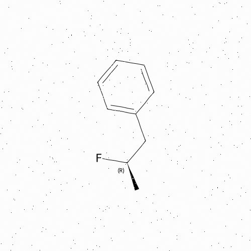 C[C@@H](F)Cc1ccccc1